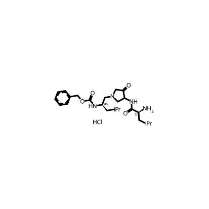 CC(C)C[C@H](CN1CC(=O)C(NC(=O)[C@@H](N)CC(C)C)C1)NC(=O)OCc1ccccc1.Cl